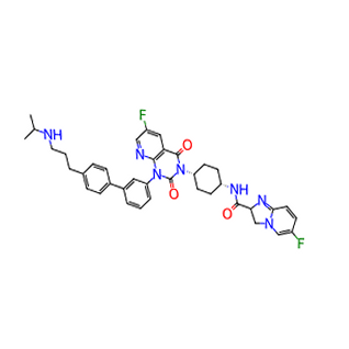 CC(C)NCCCc1ccc(-c2cccc(-n3c(=O)n([C@H]4CC[C@@H](NC(=O)C5CN6C=C(F)C=CC6=N5)CC4)c(=O)c4cc(F)cnc43)c2)cc1